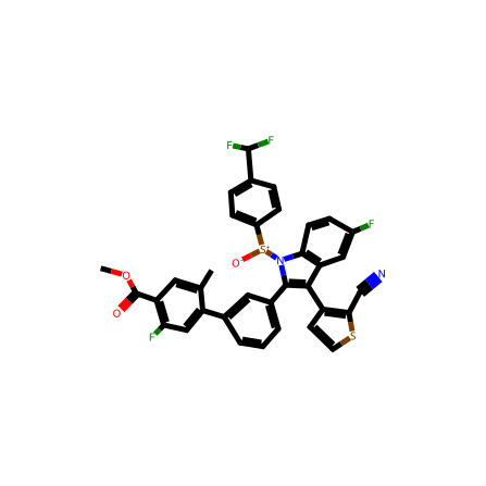 COC(=O)c1cc(C)c(-c2cccc(-c3c(-c4ccsc4C#N)c4cc(F)ccc4n3[S+]([O-])c3ccc(C(F)F)cc3)c2)cc1F